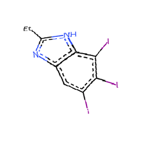 CCc1nc2cc(I)c(I)c(I)c2[nH]1